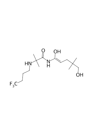 CC(C)(CO)C/C=C(\O)NC(=O)C(C)(C)NCCCC(F)(F)F